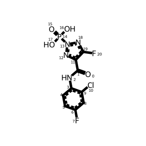 O=C(Nc1ccc(F)cc1Cl)c1nn(P(=O)(O)O)nc1F